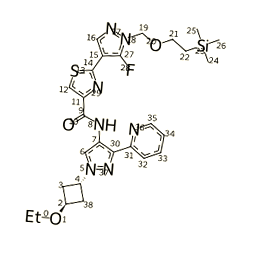 CCO[C@H]1C[C@H](n2cc(NC(=O)c3csc(-c4cnn(COCC[Si](C)(C)C)c4F)n3)c(-c3ccccn3)n2)C1